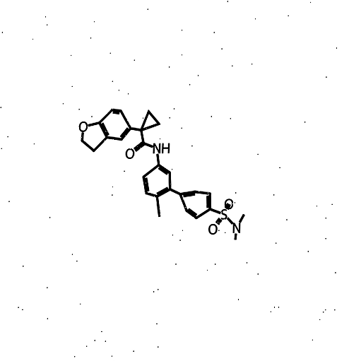 Cc1ccc(NC(=O)C2(c3ccc4c(c3)CCO4)CC2)cc1-c1ccc(S(=O)(=O)N(C)C)cc1